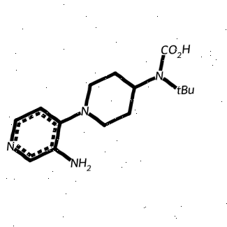 CC(C)(C)N(C(=O)O)C1CCN(c2ccncc2N)CC1